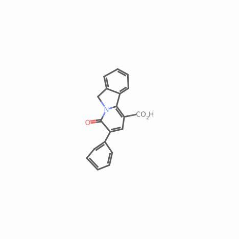 O=C(O)c1cc(-c2ccccc2)c(=O)n2c1-c1ccccc1C2